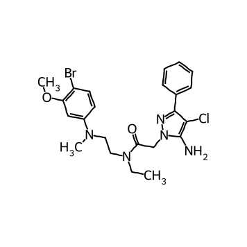 CCN(CCN(C)c1ccc(Br)c(OC)c1)C(=O)Cn1nc(-c2ccccc2)c(Cl)c1N